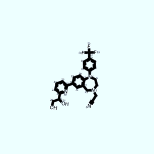 N#CCN1CCN(c2ccc(C(F)(F)F)cc2)c2ccc(-c3cccc(C(O)CO)n3)cc2C1